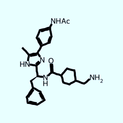 CC(=O)Nc1ccc(-c2nc([C@H](Cc3ccccc3)NC(=O)C3CCC(CN)CC3)[nH]c2C)cc1